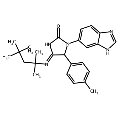 Cc1ccc(C2C(=NC(C)(C)CC(C)(C)C)NC(=O)N2c2ccc3nc[nH]c3c2)cc1